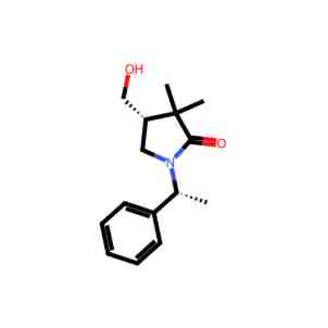 C[C@H](c1ccccc1)N1C[C@H](CO)C(C)(C)C1=O